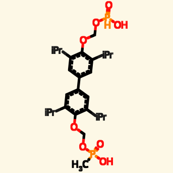 CC(C)c1cc(-c2cc(C(C)C)c(OCOP(C)(=O)O)c(C(C)C)c2)cc(C(C)C)c1OCO[PH](=O)O